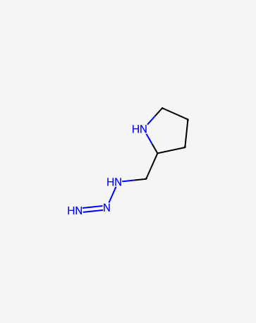 N=NNCC1CCCN1